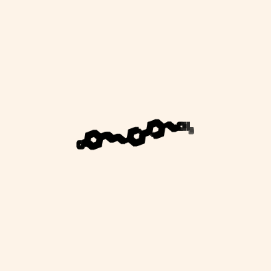 CCC[C@H]1CC[C@H]([C@H]2CC[C@H](CCC=CC3CCC(=O)CC3)CC2)CC1